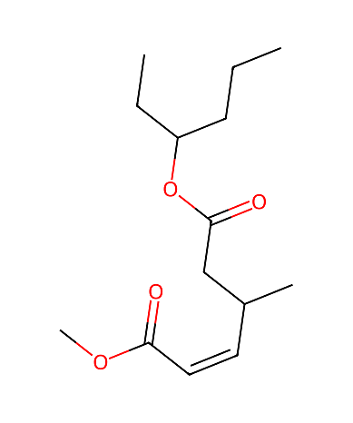 CCCC(CC)OC(=O)CC(C)/C=C\C(=O)OC